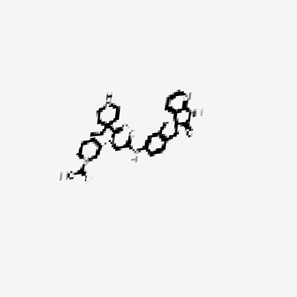 CCC1(C(=O)N(CC(=O)Nc2ccc3c(c2)C[C@@]2(C3)C(=O)Nc3ncccc32)[C@H]2CCCN(C(=O)O)C2)CCNCC1